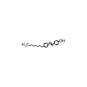 CCCCCCCCc1ccc(N=Nc2ccc(O)cc2)cc1